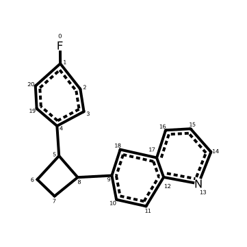 Fc1ccc(C2CCC2c2ccc3ncccc3c2)cc1